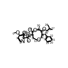 COc1ccnc(C(=O)N[C@H]2CCOC[C@H](Cc3ccccc3)[C@@H](OCC(C)C)[C@H](C)OC2=O)c1O